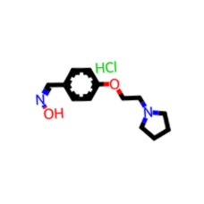 Cl.O/N=C\c1ccc(OCCN2CCCC2)cc1